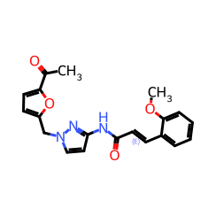 COc1ccccc1/C=C/C(=O)Nc1ccn(Cc2ccc(C(C)=O)o2)n1